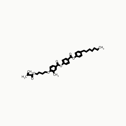 C=C(C)C(=O)OCCCCOc1ccc(C(=O)Oc2ccc(C(=O)Oc3ccc(CCCCCCC)cc3)cc2)cc1C